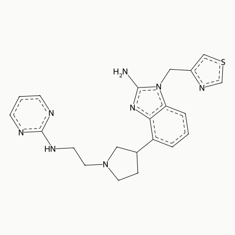 Nc1nc2c(C3CCN(CCNc4ncccn4)C3)cccc2n1Cc1cscn1